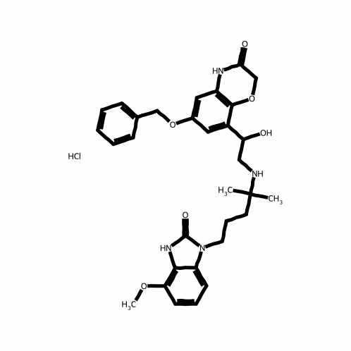 COc1cccc2c1[nH]c(=O)n2CCCC(C)(C)NCC(O)c1cc(OCc2ccccc2)cc2c1OCC(=O)N2.Cl